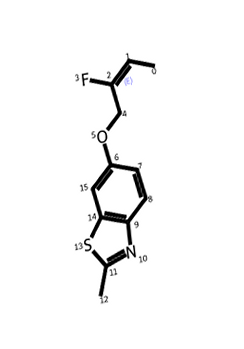 C/C=C(/F)COc1ccc2nc(C)sc2c1